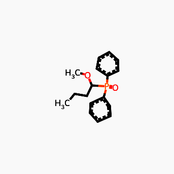 CCCC(OC)P(=O)(c1ccccc1)c1ccccc1